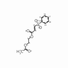 CC(=O)OCCOC(=O)/C=C/S(=O)(=O)c1ccccc1